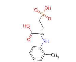 Cc1ccccc1N[C@@H](CCS(=O)(=O)O)C(=O)O